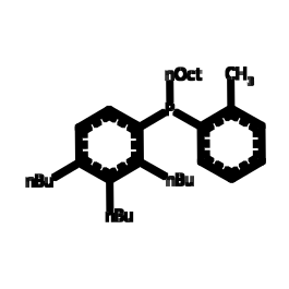 CCCCCCCCP(c1ccccc1C)c1ccc(CCCC)c(CCCC)c1CCCC